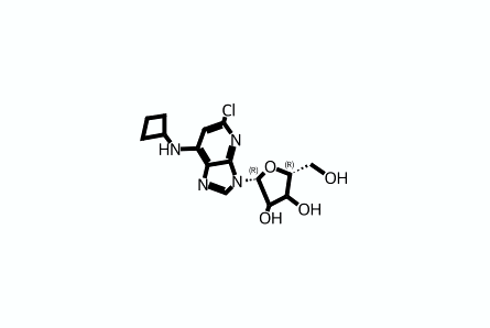 OC[C@H]1O[C@@H](n2cnc3c(NC4CCC4)cc(Cl)nc32)C(O)C1O